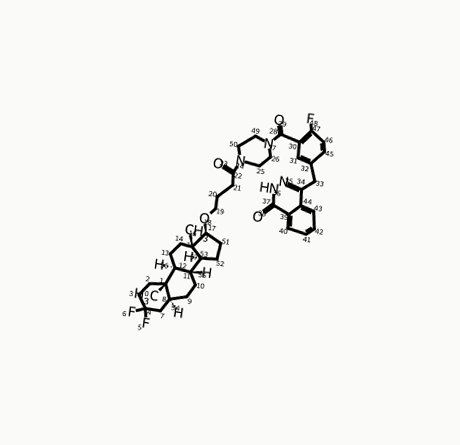 C[C@]12CCC(F)(F)C[C@@H]1CC[C@@H]1[C@@H]2CC[C@]2(C)[C@@H](OCCCC(=O)N3CCN(C(=O)c4cc(Cc5n[nH]c(=O)c6ccccc56)ccc4F)CC3)CC[C@@H]12